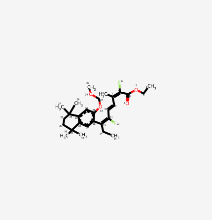 CCOC(=O)\C(F)=C(C)/C=C/C(F)=C(/CC)c1cc2c(cc1OCOC)C(C)(C)CCC2(C)C